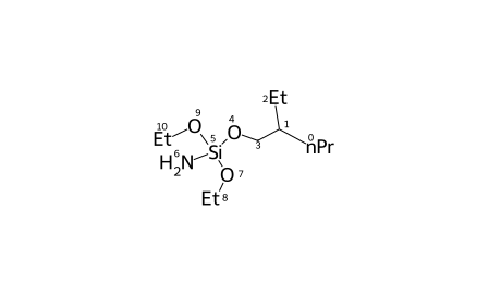 CCCC(CC)CO[Si](N)(OCC)OCC